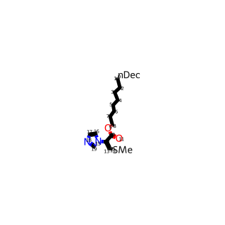 CCCCCCCCCCCCCCCCCCOC(=O)C(=CSC)n1ccnc1